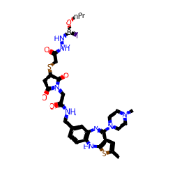 CCCOB(I)NNC(=O)CSC1CC(=O)N(CC(=O)NCc2ccc3c(c2)N=C(N2CCN(C)CC2)c2cc(C)sc2N3)C1=O